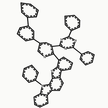 c1ccc(-c2cccc(-c3cnc(-c4cccc5c4sc4c5ccc5c6ccccc6n(-c6ccccc6)c54)c(-c4nc(-c5ccccc5)nc(-c5ccccc5)n4)c3)c2)cc1